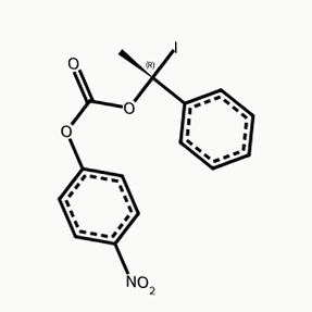 C[C@](I)(OC(=O)Oc1ccc([N+](=O)[O-])cc1)c1ccccc1